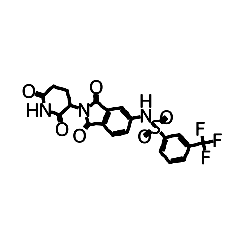 O=C1CCC(N2C(=O)c3ccc(NS(=O)(=O)c4cccc(C(F)(F)F)c4)cc3C2=O)C(=O)N1